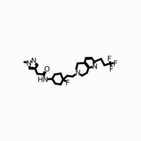 Cn1cc(CC(=O)NC2CCC(F)(CCN3CCc4ccc(CCC(F)(F)F)nc4CC3)CC2)cn1